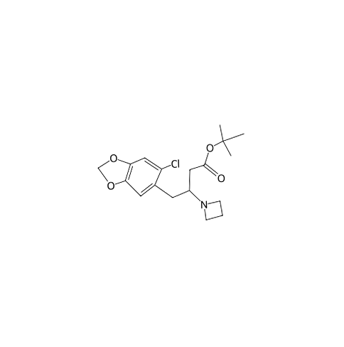 CC(C)(C)OC(=O)CC(Cc1cc2c(cc1Cl)OCO2)N1CCC1